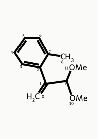 C=C(c1ccccc1C)C(OC)OC